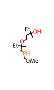 CCC(C)(O)CCOC(C)(CC)CPCOC